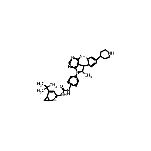 CC1C(C2C=CC(C3CCNCC3)=CC2)c2c(N)ncnc2N1c1ccc(NC(=O)NC2=NC3CC3C(C(C)(C)C)=C2)cc1